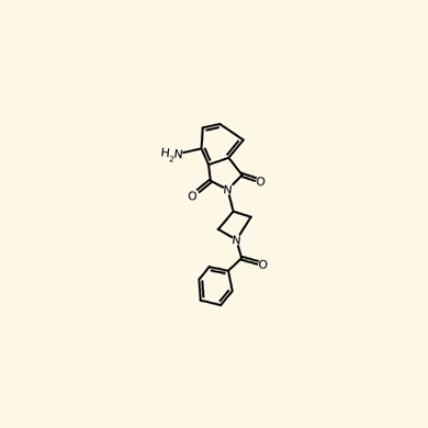 Nc1cccc2c1C(=O)N(C1CN(C(=O)c3ccccc3)C1)C2=O